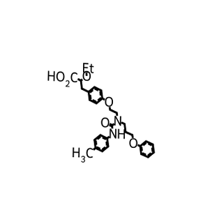 CCOC(Cc1ccc(OCCN(CCCOc2ccccc2)C(=O)Nc2ccc(C)cc2)cc1)C(=O)O